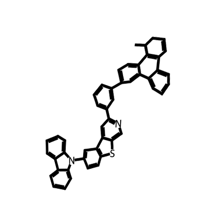 CC1CC=Cc2c1c1ccc(-c3cccc(-c4cc5c(cn4)sc4ccc(-n6c7ccccc7c7ccccc76)cc45)c3)cc1c1ccccc21